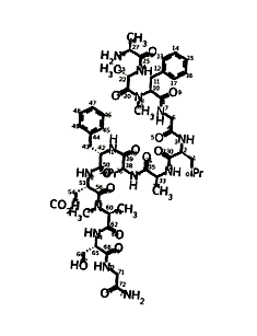 CC(C)C[C@H](NC(=O)CNC(=O)[C@H](Cc1ccccc1)N(C)C(=O)[C@H](C)NC(=O)[C@H](C)N)C(=O)N[C@@H](C)C(=O)N[C@H](C(=O)N[C@@H](Cc1ccccc1)C(=O)N[C@@H](CC(=O)O)C(=O)N(C)[C@@H](C)C(=O)N[C@@H](CO)C(=O)NCC(N)=O)C(C)C